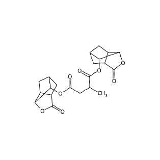 CC(CC(=O)OC1C2CC3C(=O)OC1C3C2)C(=O)OC1C2CC3C(=O)OC1C3C2